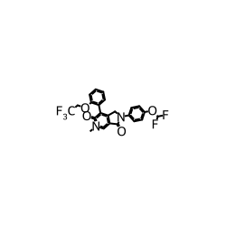 Cn1cc2c(c(-c3ccccc3OCC(F)(F)F)c1=O)CN(c1ccc(OC(F)F)cc1)C2=O